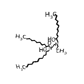 CCCCCCCCCCC(O)CN(CCC)CCN(CC(O)CCCCCCCCCC)C(O)CCCCCCCCCC